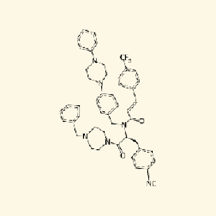 [C-]#[N+]c1ccc(C[C@@H](C(=O)N2CCN(Cc3ccccc3)CC2)N(Cc2ccc(N3CCN(c4ccccc4)CC3)cc2)C(=O)/C=C/c2ccc(C(F)(F)F)cc2)cc1